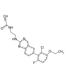 C#CC(=O)NCCNc1ncc2cc(-c3c(F)ccc(OCC)c3Cl)ccc2n1